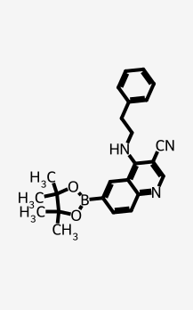 CC1(C)OB(c2ccc3ncc(C#N)c(NCCc4ccccc4)c3c2)OC1(C)C